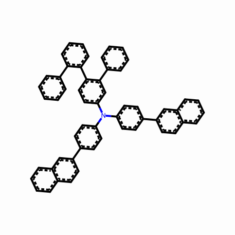 c1ccc(-c2ccccc2-c2ccc(N(c3ccc(-c4ccc5ccccc5c4)cc3)c3ccc(-c4ccc5ccccc5c4)cc3)cc2-c2ccccc2)cc1